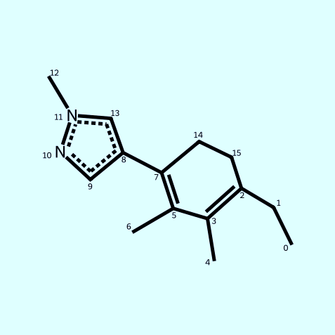 CCC1=C(C)C(C)=C(c2cnn(C)c2)CC1